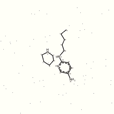 C1CCNCC1.CCCCCNc1ccc(N)cn1